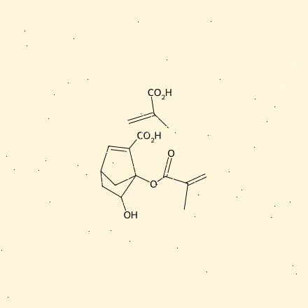 C=C(C)C(=O)O.C=C(C)C(=O)OC12CC(C=C1C(=O)O)CC2O